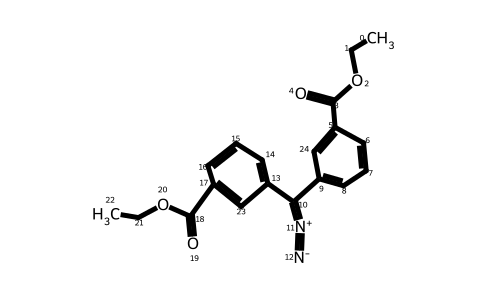 CCOC(=O)c1cccc(C(=[N+]=[N-])c2cccc(C(=O)OCC)c2)c1